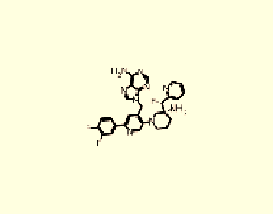 Nc1ncnc2c1ncn2Cc1cc(-c2ccc(F)c(F)c2)ncc1N1CCC[C@](N)([C@H](F)c2ccccn2)C1